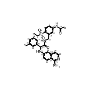 CCS(=O)(=O)c1ccc(NC(C)=O)cc1CNC(=O)C(Nc1ccc2c(N)nccc2c1)c1cccc(C)c1